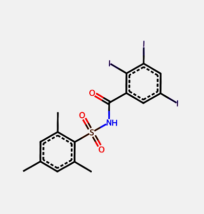 Cc1cc(C)c(S(=O)(=O)NC(=O)c2cc(I)cc(I)c2I)c(C)c1